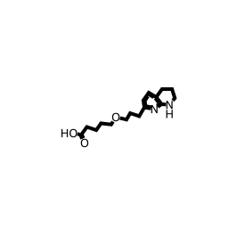 O=C(O)CCCCOCCCc1ccc2c(n1)NCCC2